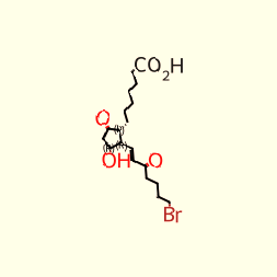 O=C(O)CCCCCC[C@H]1C(=O)C[C@@H](O)[C@@H]1C=CC(=O)CCCCBr